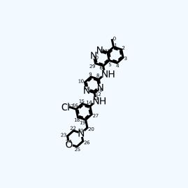 Cc1cccc2c(Nc3ccnc(Nc4cc(Cl)cc(CN5CCOCC5)c4)n3)cnnc12